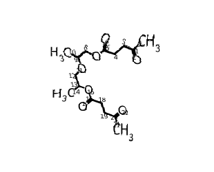 CC(=O)CCC(=O)OCC(C)OCC(C)OC(=O)CCC(C)=O